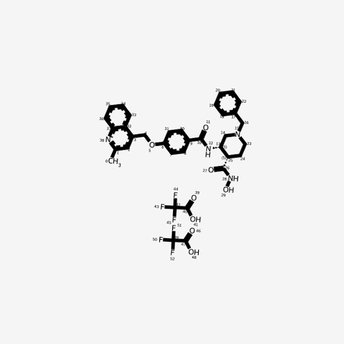 Cc1cc(COc2ccc(C(=O)N[C@@H]3CN(Cc4ccccc4)CC[C@@H]3C(=O)NO)cc2)c2ccccc2n1.O=C(O)C(F)(F)F.O=C(O)C(F)(F)F